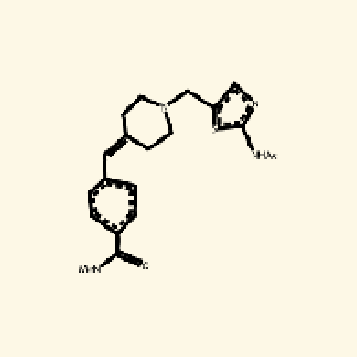 CNC(=O)c1ccc(C=C2CCN(Cc3cnc(NC(C)=O)s3)CC2)cc1